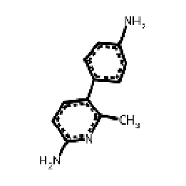 Cc1nc(N)ccc1-c1ccc(N)cc1